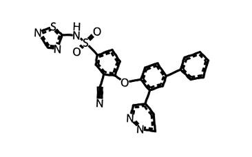 N#Cc1cc(S(=O)(=O)Nc2ncns2)ccc1Oc1ccc(-c2ccccc2)cc1-c1ccnnc1